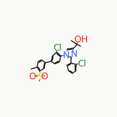 Cc1ccc(-c2ccc(-n3cc(C(C)(C)O)nc3-c3ccccc3Cl)c(Cl)c2)cc1S(C)(=O)=O